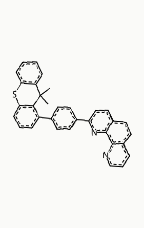 CC1(C)c2ccccc2Sc2cccc(-c3ccc(-c4ccc5ccc6cccnc6c5n4)cc3)c21